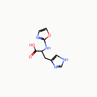 O=C(O)C(Cc1c[nH]cn1)Nc1ncco1